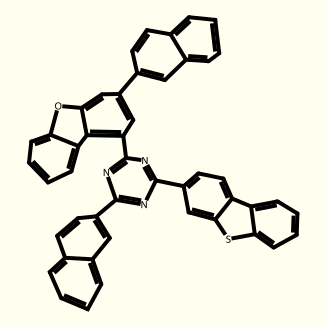 c1ccc2cc(-c3cc(-c4nc(-c5ccc6ccccc6c5)nc(-c5ccc6c(c5)sc5ccccc56)n4)c4c(c3)oc3ccccc34)ccc2c1